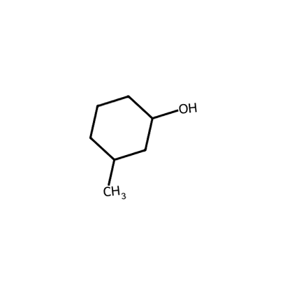 CC1CCCC(O)C1